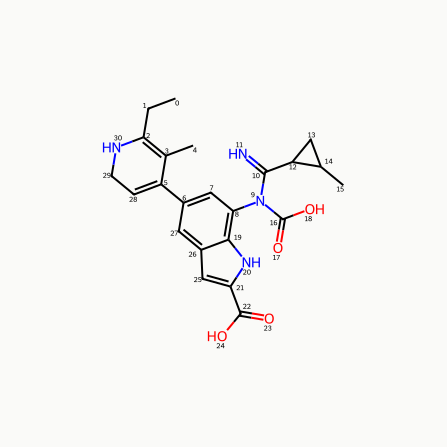 CCC1=C(C)C(c2cc(N(C(=N)C3CC3C)C(=O)O)c3[nH]c(C(=O)O)cc3c2)=CCN1